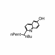 CCCCCC(CCCC)c1ccc2cc(O)ccc2n1